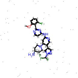 COc1cccc(F)c1-c1nccc(Nc2cc(N3CC[C@H](N)[C@@H](F)C3)c(-c3cnn(C(F)F)c3)cn2)n1